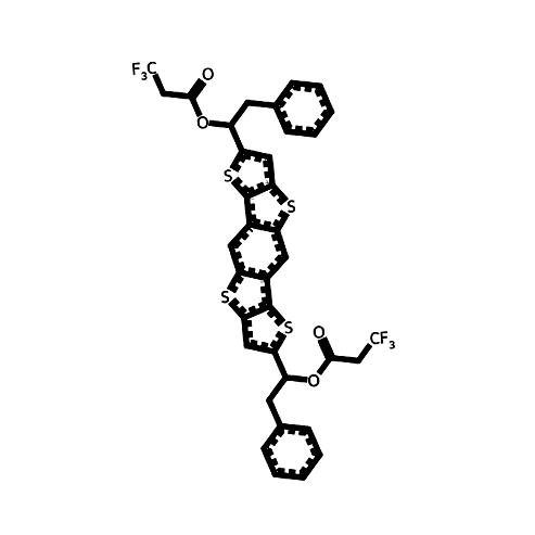 O=C(CC(F)(F)F)OC(Cc1ccccc1)c1cc2sc3cc4c(cc3c2s1)sc1cc(C(Cc2ccccc2)OC(=O)CC(F)(F)F)sc14